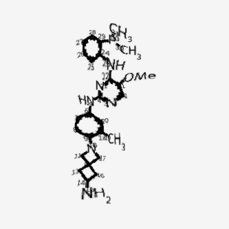 COc1cnc(Nc2ccc(N3CC4(CC(N)C4)C3)c(C)c2)nc1Nc1ccccc1P(C)C